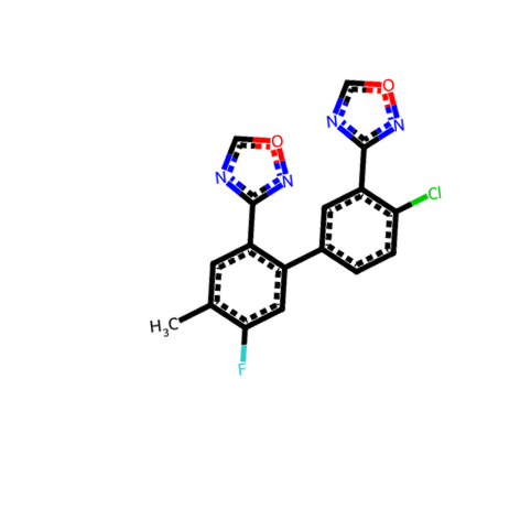 Cc1cc(-c2ncon2)c(-c2ccc(Cl)c(-c3ncon3)c2)cc1F